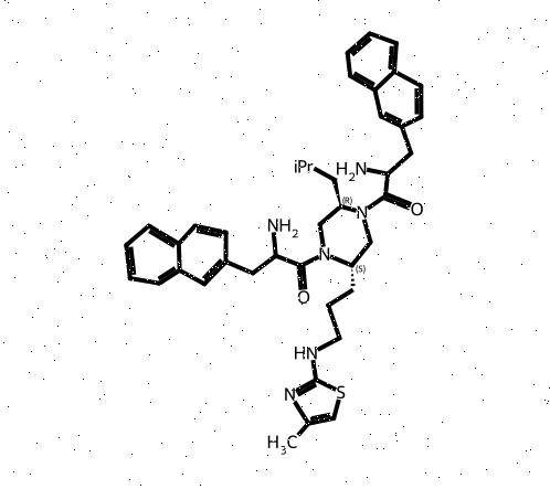 Cc1csc(NCCC[C@H]2CN(C(=O)C(N)Cc3ccc4ccccc4c3)[C@H](CC(C)C)CN2C(=O)C(N)Cc2ccc3ccccc3c2)n1